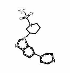 CS(=O)(=O)N1CCC[C@@H](n2cnc3ccc(-c4ccncc4)cc32)C1